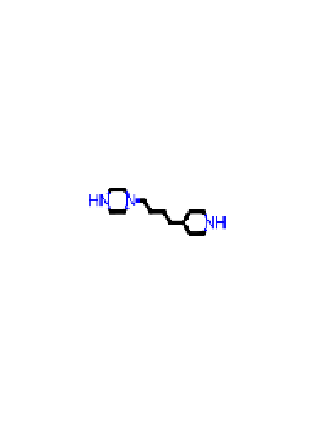 C(CCN1CCNCC1)CC1CCNCC1